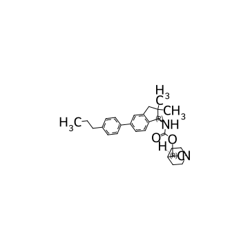 CCCc1ccc(-c2ccc3c(c2)CC(C)(C)[C@H]3NC(=O)O[C@H]2CN3CCC2CC3)cc1